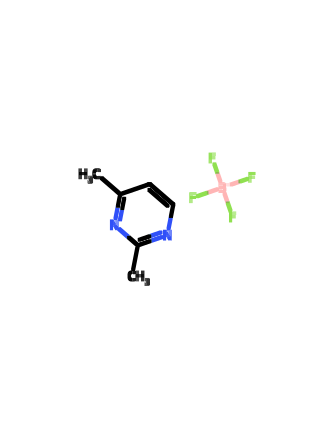 Cc1ccnc(C)n1.F[B-](F)(F)F